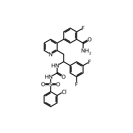 NC(=O)c1cc(-c2cccnc2CC(NC(=O)NS(=O)(=O)c2ccccc2Cl)c2cc(F)cc(F)c2)ccc1F